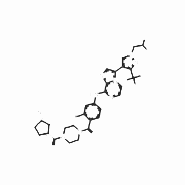 N[C@H]1CC[C@H](C(=O)N2CCN(C(=O)c3ccc(Nc4nccn5c(-c6cn(CC(F)F)nc6C(F)(F)F)cnc45)cc3Cl)CC2)C1